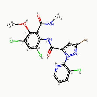 CNC(=O)c1c(NC(=O)c2cc(Br)nn2-c2ncccc2Cl)c(Cl)cc(Cl)c1OC